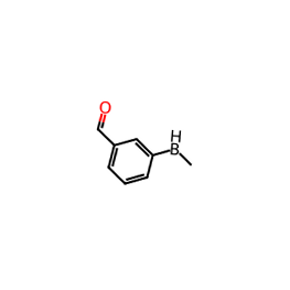 CBc1cccc(C=O)c1